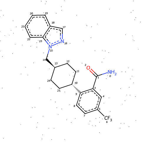 NC(=O)c1cc(C(F)(F)F)ccc1[C@H]1CC[C@H](Cn2ncc3ccccc32)CC1